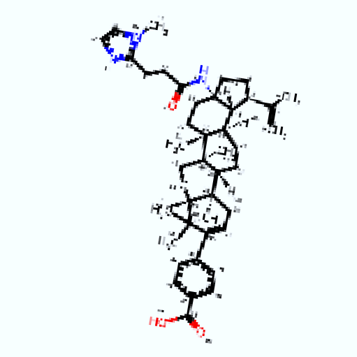 C=C(C)[C@@H]1CC[C@]2(NC(=O)CCc3nccn3C)CC[C@]3(C)[C@H](CC[C@@H]4[C@@]5(C)CC=C(c6ccc(C(=O)O)cc6)C(C)(C)[C@@H]5CC[C@]43C)[C@@H]12